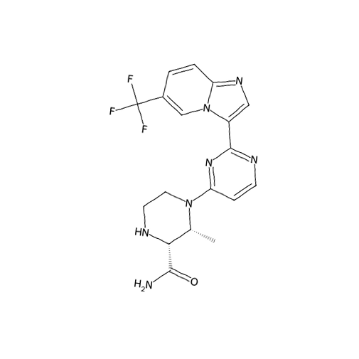 C[C@@H]1[C@H](C(N)=O)NCCN1c1ccnc(-c2cnc3ccc(C(F)(F)F)cn23)n1